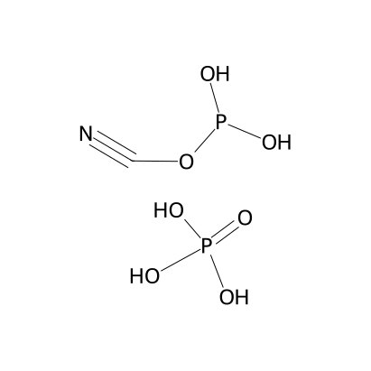 N#COP(O)O.O=P(O)(O)O